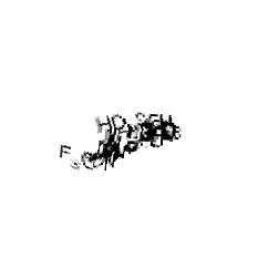 C[C@H](N[P@](=O)(OC[C@@H]1C=C[C@H](n2cnc3c(OCC(F)(F)F)nc(N)nc32)C1)Oc1ccccc1)C(=O)O